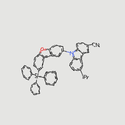 CC(C)c1ccc2c(c1)c1cc(C#N)ccc1n2-c1ccc2oc3ccc([Si](c4ccccc4)(c4ccccc4)c4ccccc4)cc3c2c1